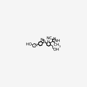 Cc1[nH]nc(C#N)c1-c1nc(-n2cnc3cc(N4CC[C@H](O)C4)ccc32)ccc1CCO